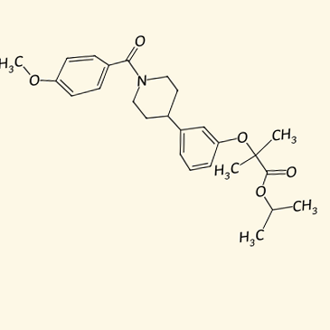 COc1ccc(C(=O)N2CCC(c3cccc(OC(C)(C)C(=O)OC(C)C)c3)CC2)cc1